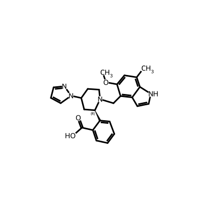 COc1cc(C)c2[nH]ccc2c1CN1CCC(n2cccn2)C[C@@H]1c1ccccc1C(=O)O